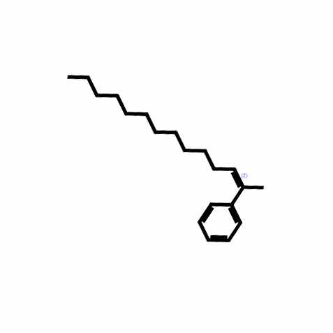 CCCCCCCCCCC/C=C(/C)c1ccccc1